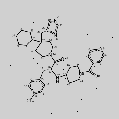 O=C(c1ccncc1)N1CCC(N[C@H](Cc2ccc(Cl)cc2)C(=O)N2CCC(Cn3cncn3)(C3CCCCC3)CC2)CC1